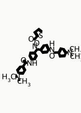 CN(C)c1ccc(C(=O)Nc2ccc(C(=NOC(=O)c3cccs3)c3ccc(NC(=O)c4ccc(N(C)C)cc4)cc3)cc2)cc1